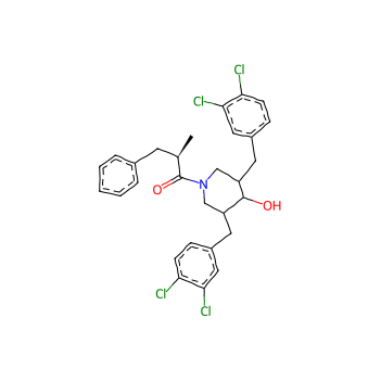 C[C@H](Cc1ccccc1)C(=O)N1CC(Cc2ccc(Cl)c(Cl)c2)C(O)C(Cc2ccc(Cl)c(Cl)c2)C1